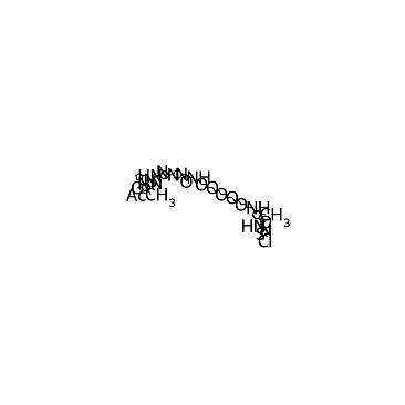 CC(=O)c1c(C)c2cnc(Nc3ccc(N4CCN(CC(=O)NCCOCCOCCOCCOCCOCCNc5ccc(C(=O)Nc6ncc(Cl)s6)c(C)c5)CC4)cn3)nc2n(C2CCCC2)c1=O